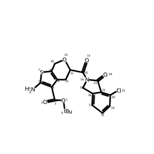 CC(C)(C)OC(=O)c1c(N)sc2c1CC(C(=O)N1Cc3cccc(Cl)c3C1=O)OC2